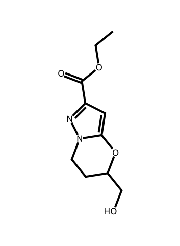 CCOC(=O)c1cc2n(n1)CCC(CO)O2